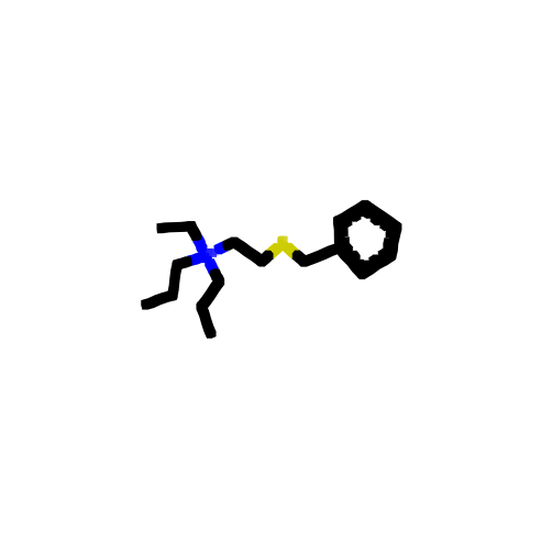 CCC[N+](CC)(CCC)CCSCc1ccccc1